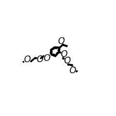 COCCOCOc1ccc(C(C)=O)c(OCOCCOC)c1